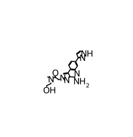 CN(CCO)C(=O)Cn1cc2c(n1)c(N)nc1cc(-c3cc[nH]n3)ccc12